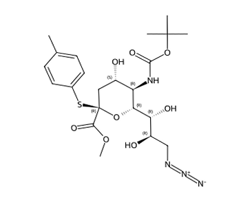 COC(=O)[C@]1(Sc2ccc(C)cc2)C[C@H](O)[C@@H](NC(=O)OC(C)(C)C)[C@H]([C@H](O)[C@H](O)CN=[N+]=[N-])O1